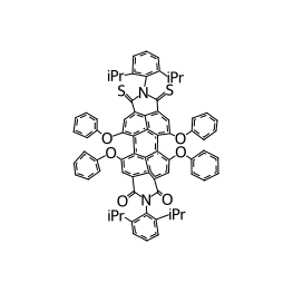 CC(C)c1cccc(C(C)C)c1N1C(=O)c2cc(Oc3ccccc3)c3c4c(Oc5ccccc5)cc5c6c(cc(Oc7ccccc7)c(c7c(Oc8ccccc8)cc(c2c37)C1=O)c64)C(=S)N(c1c(C(C)C)cccc1C(C)C)C5=S